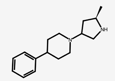 C[C@@H]1CC(N2CCC(c3ccccc3)CC2)CN1